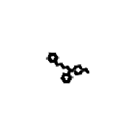 CCN1CCN(C(CCCCc2ccccc2)c2ccccc2)CC1